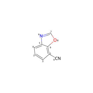 N#Cc1cccc2ncoc12